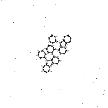 c1ccc(-n2c3ccccc3c3cccc(-c4ccccc4-c4cccc5c6ccccc6n(-c6ccccc6)c45)c32)cc1